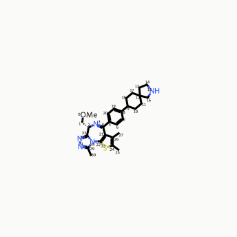 COC[C@@H]1N=C(c2ccc(C3CCC4(CCNC4)CC3)cc2)c2c(sc(C)c2C)-n2c(C)nnc21